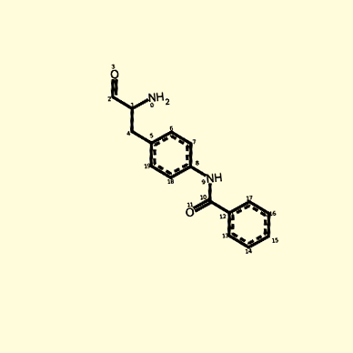 NC(C=O)Cc1ccc(NC(=O)c2ccccc2)cc1